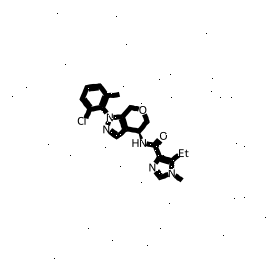 CCc1c(C(=O)N[C@@H]2COCc3c2cnn3-c2c(C)cccc2Cl)ncn1C